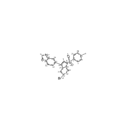 Cc1ccc(S(=O)(=O)n2cc(-c3ccc4ocnc4c3)c3cc(Br)cnc32)cc1